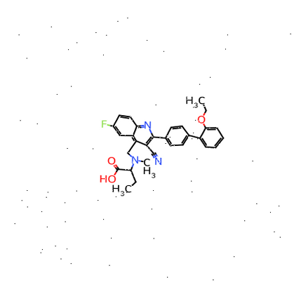 CCOc1ccccc1-c1ccc(-c2nc3ccc(F)cc3c(CN(C)C(CC)C(=O)O)c2C#N)cc1